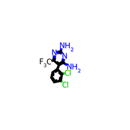 Nc1nc(N)c(-c2cccc(Cl)c2Cl)c(C(F)(F)F)n1